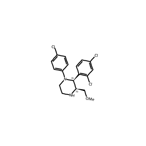 COC[C@H]1NCCN(c2ccc(Cl)cc2)[C@H]1c1ccc(Cl)cc1Cl